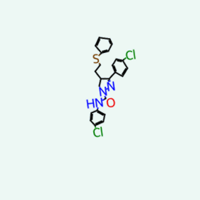 O=C(Nc1ccc(Cl)cc1)N1CC(CCSc2ccccc2)C(c2ccc(Cl)cc2)=N1